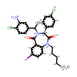 CC(c1ccc(Cl)c(N)c1)N1C(=O)c2cc(I)ccc2N(CCCCC(=O)O)C(=O)[C@@H]1c1ccc(Cl)cc1